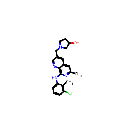 Cc1cc2cc(CN3CCC(O)C3)cnc2c(Nc2cccc(Cl)c2C)n1